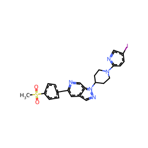 CS(=O)(=O)c1ccc(-c2cc3cnn(C4CCN(c5ccc(I)cn5)CC4)c3cn2)cc1